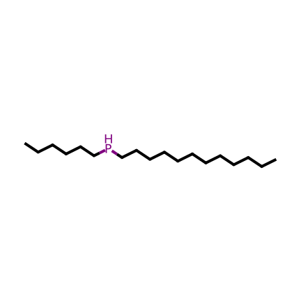 CCCCCCCCCCCCPCCCCCC